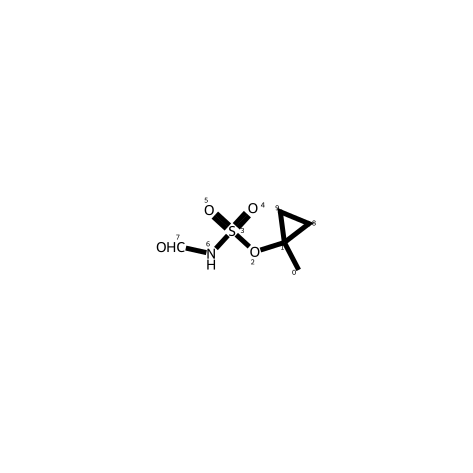 CC1(OS(=O)(=O)NC=O)CC1